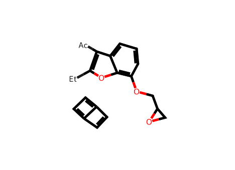 CCc1oc2c(OCC3CO3)cccc2c1C(C)=O.c1cc2ccc1-2